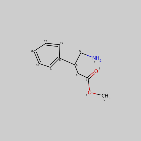 COC(=O)CC(CN)c1ccccc1